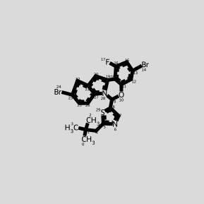 CC(C)(C)Cc1ncc(C2Oc3cc(Br)cc(F)c3-c3cc4cc(Br)ccc4n32)s1